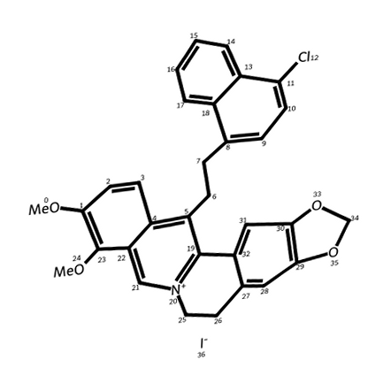 COc1ccc2c(CCc3ccc(Cl)c4ccccc34)c3[n+](cc2c1OC)CCc1cc2c(cc1-3)OCO2.[I-]